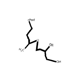 CCCCCCCC(C)OCC(O)CO